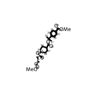 COOOSCS(=O)(=O)N1CCC(C(=O)OC(C)(C)c2ccc(C(=O)OC)cc2)CC1